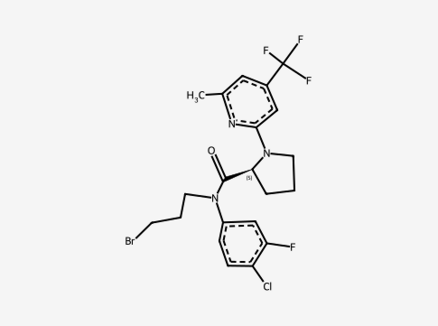 Cc1cc(C(F)(F)F)cc(N2CCC[C@H]2C(=O)N(CCCBr)c2ccc(Cl)c(F)c2)n1